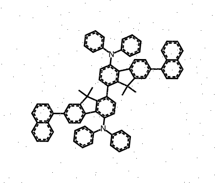 CC1(C)c2cc(-c3cccc4ccccc34)ccc2-c2c(N(c3ccccc3)c3ccccc3)ccc(-c3ccc(N(c4ccccc4)c4ccccc4)c4c3C(C)(C)c3cc(-c5cccc6ccccc56)ccc3-4)c21